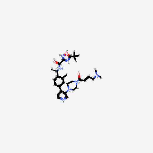 Cc1cc(-c2ccncc2N2CCN(C(=O)/C=C/CN(C)C)CC2)ccc1[C@@H](C)NC(=O)c1noc(C(C)(C)C)n1